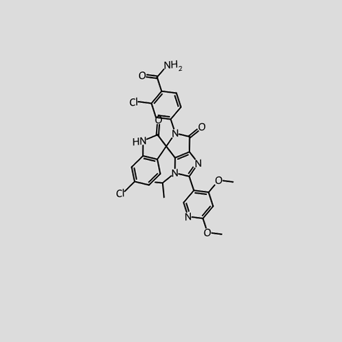 COc1cc(OC)c(-c2nc3c(n2C(C)C)C2(C(=O)Nc4cc(Cl)ccc42)N(c2ccc(C(N)=O)c(Cl)c2)C3=O)cn1